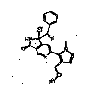 CCCOCc1cnn(C)c1-c1cc2c(cn1)C(=O)NC2(CC)C(F)c1ccccc1